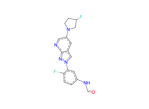 O=CNc1ccc(F)c(-n2cc3cc(N4CCC(F)C4)cnc3n2)c1